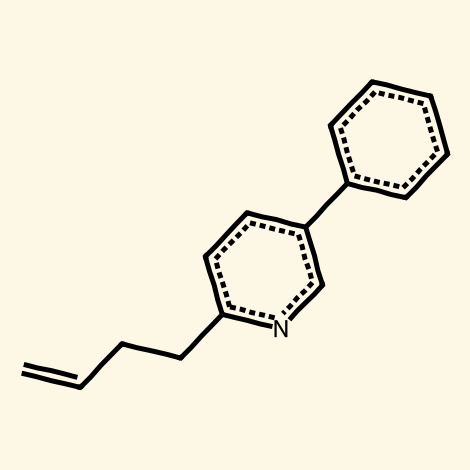 C=CCCc1ccc(-c2ccccc2)cn1